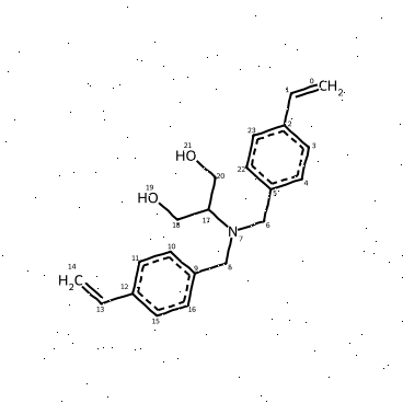 C=Cc1ccc(CN(Cc2ccc(C=C)cc2)C(CO)CO)cc1